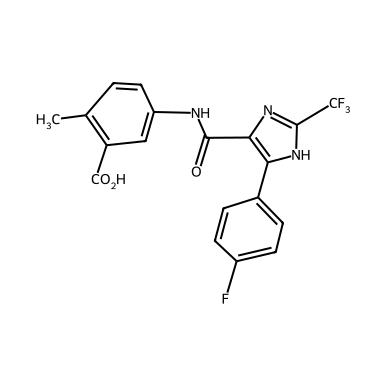 Cc1ccc(NC(=O)c2nc(C(F)(F)F)[nH]c2-c2ccc(F)cc2)cc1C(=O)O